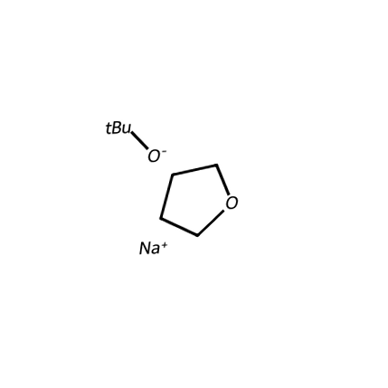 C1CCOC1.CC(C)(C)[O-].[Na+]